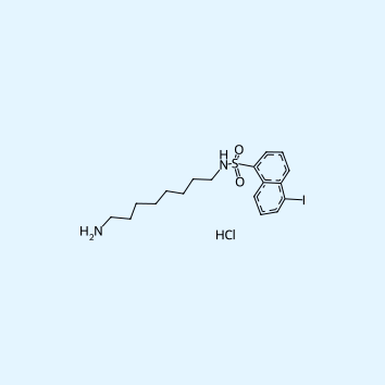 Cl.NCCCCCCCCNS(=O)(=O)c1cccc2c(I)cccc12